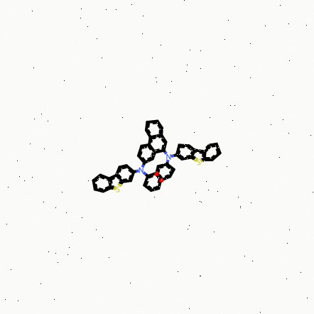 c1ccc(N(c2ccc3c(c2)sc2ccccc23)c2ccc3c(c2)c(N(c2ccccc2)c2ccc4c(c2)sc2ccccc24)cc2ccccc23)cc1